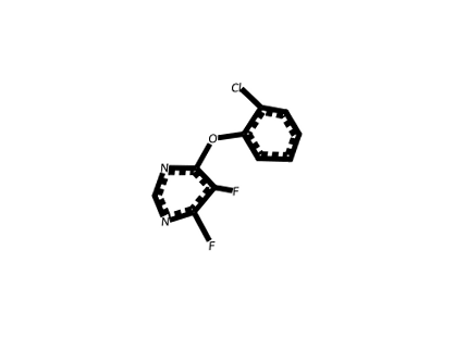 Fc1ncnc(Oc2ccccc2Cl)c1F